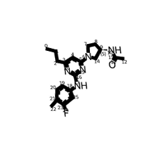 CCCc1cc(N2CC[C@H](NC(C)=O)C2)nc(Nc2ccc(C)c(F)c2)n1